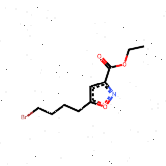 CCOC(=O)c1cc(CCCCBr)on1